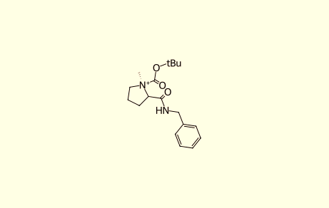 CC(C)(C)OC(=O)[N@+]1(C)CCCC1C(=O)NCc1ccccc1